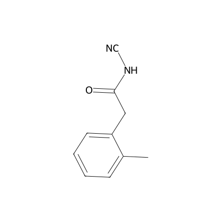 Cc1ccccc1CC(=O)NC#N